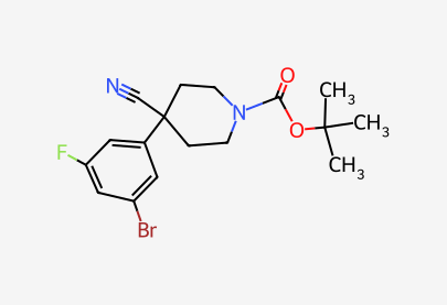 CC(C)(C)OC(=O)N1CCC(C#N)(c2cc(F)cc(Br)c2)CC1